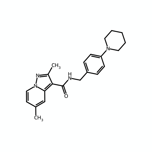 Cc1ccn2nc(C)c(C(=O)NCc3ccc(N4CCCCC4)cc3)c2c1